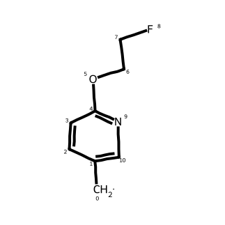 [CH2]c1ccc(OCCF)nc1